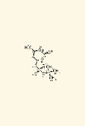 CC(CCOS(=O)(=O)O[Si](C)(C)C)O[SH](=O)=O